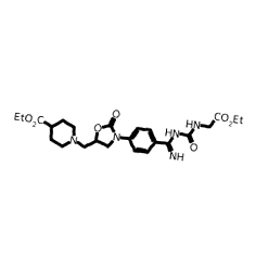 CCOC(=O)CNC(=O)NC(=N)c1ccc(N2CC(CN3CCC(C(=O)OCC)CC3)OC2=O)cc1